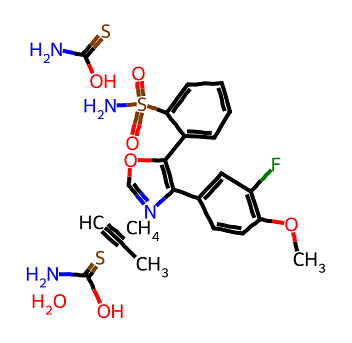 C.C#CC.COc1ccc(-c2ncoc2-c2ccccc2S(N)(=O)=O)cc1F.NC(O)=S.NC(O)=S.O